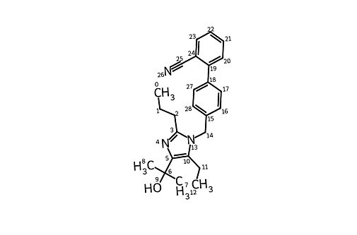 CCCc1nc(C(C)(C)O)c(CC)n1Cc1ccc(-c2ccccc2C#N)cc1